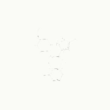 CO[C@H]1CC[C@H](N(Cc2c(F)cccc2F)C(=O)c2cc(C)n[nH]2)CC1